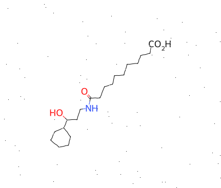 O=C(O)CCCCCCCCCC(=O)NCCC(O)C1CCCCC1